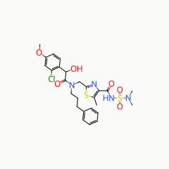 COc1ccc(C(O)C(=O)N(CCCc2ccccc2)Cc2nc(C(=O)NS(=O)(=O)N(C)C)c(C)s2)c(Cl)c1